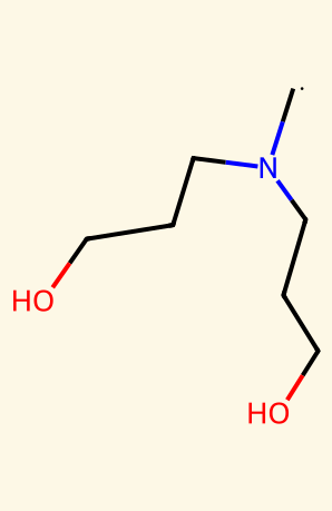 [CH2]N(CCCO)CCCO